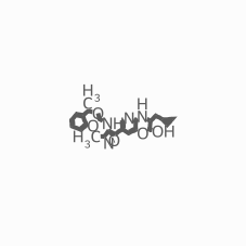 Cc1noc(-c2ccc(NC(CC3CC3)C(=O)O)nc2)c1NC(=O)OC(C)c1ccccc1